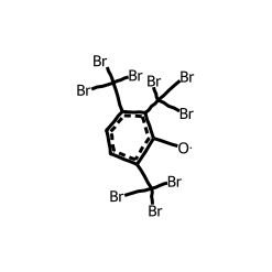 [O]c1c(C(Br)(Br)Br)ccc(C(Br)(Br)Br)c1C(Br)(Br)Br